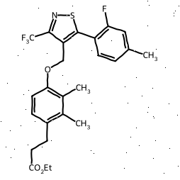 CCOC(=O)CCc1ccc(OCc2c(C(F)(F)F)nsc2-c2ccc(C)cc2F)c(C)c1C